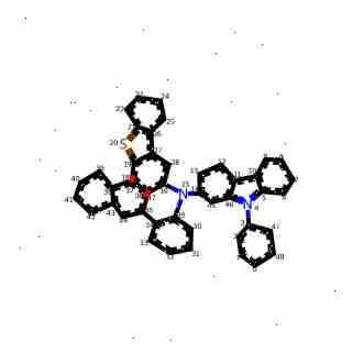 c1ccc(-n2c3ccccc3c3ccc(N(c4ccc5sc6ccccc6c5c4)c4ccccc4-c4ccc5ccccc5c4)cc32)cc1